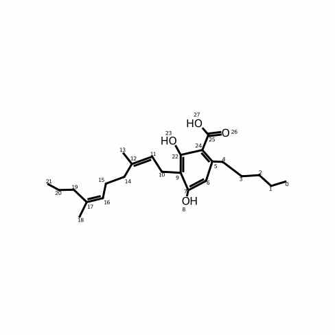 CCCCCc1cc(O)c(CC=C(C)CCC=C(C)CCC)c(O)c1C(=O)O